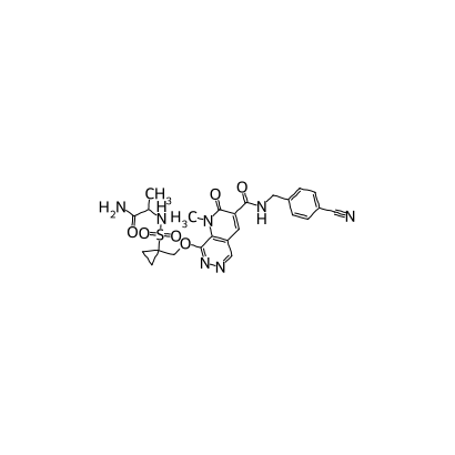 CC(NS(=O)(=O)C1(COc2nncc3cc(C(=O)NCc4ccc(C#N)cc4)c(=O)n(C)c23)CC1)C(N)=O